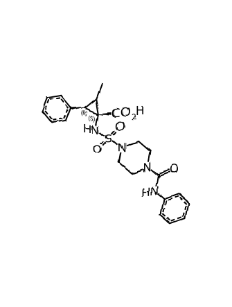 CC1[C@H](c2ccccc2)[C@]1(NS(=O)(=O)N1CCN(C(=O)Nc2ccccc2)CC1)C(=O)O